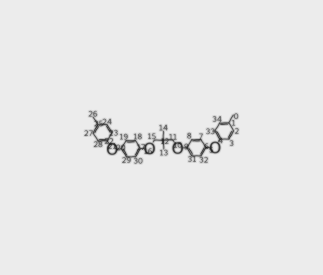 Cc1ccc(Oc2ccc(OCC(C)(C)COc3ccc(Oc4ccc(C)cc4)cc3)cc2)cc1